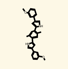 COc1cccc(-c2c[nH]c(-c3cc(C)c(-c4cc(-c5cccc(OC)c5)c[nH]4)cc3C)c2)c1